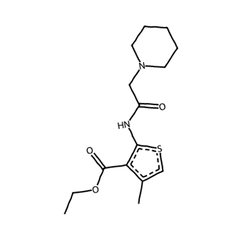 CCOC(=O)c1c(C)csc1NC(=O)CN1CCCCC1